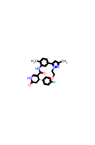 Cc1cc(-c2ccc(C)c(NC(=O)C3=CNC(=O)C[C@H]3c3ccc(F)cc3)c2)n(CCO)n1